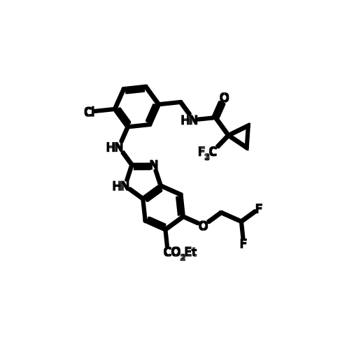 CCOC(=O)c1cc2[nH]c(Nc3cc(CNC(=O)C4(C(F)(F)F)CC4)ccc3Cl)nc2cc1OCC(F)F